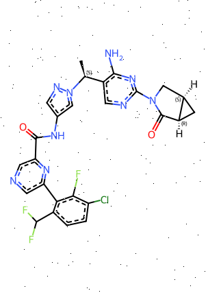 C[C@@H](c1cnc(N2C[C@H]3C[C@H]3C2=O)nc1N)n1cc(NC(=O)c2cncc(-c3c(C(F)F)ccc(Cl)c3F)n2)cn1